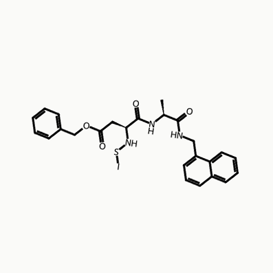 C[C@H](NC(=O)[C@H](CC(=O)OCc1ccccc1)NSI)C(=O)NCc1cccc2ccccc12